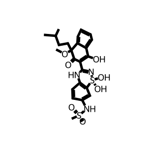 COC1(CCC(C)C)C(=O)C(C2=NS(O)(O)c3cc(NS(C)(=O)=O)ccc3N2)=C(O)c2ccccc21